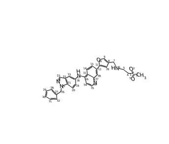 CS(=O)(=O)CCNCc1coc(-c2ccc3c(Nc4ccc5c(cnn5Cc5ccccc5)c4)ccnc3c2)c1